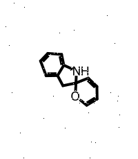 C1=COC2(C=C1)Cc1ccccc1N2